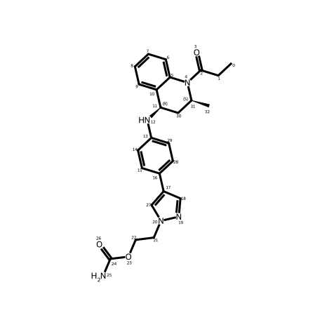 CCC(=O)N1c2ccccc2[C@H](Nc2ccc(-c3cnn(CCOC(N)=O)c3)cc2)C[C@@H]1C